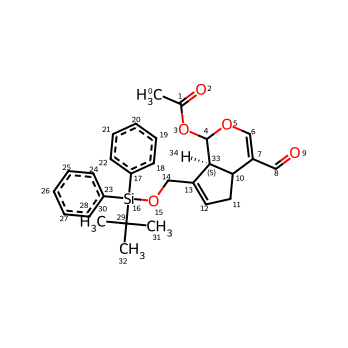 CC(=O)OC1OC=C(C=O)C2CC=C(CO[Si](c3ccccc3)(c3ccccc3)C(C)(C)C)[C@@H]12